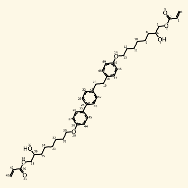 C=CC(=O)OCC(O)CCCCCCOc1ccc(CCc2ccc(-c3ccc(OCCCCCCC(O)COC(=O)C=C)cc3)cc2)cc1